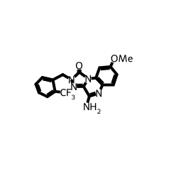 COc1ccc2nc(N)c3nn(Cc4ccccc4C(F)(F)F)c(=O)n3c2c1